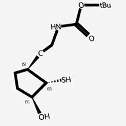 CC(C)(C)OC(=O)NCC[C@@H]1CC[C@H](O)[C@H]1S